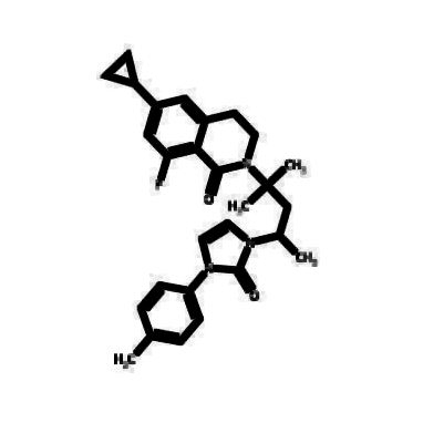 Cc1ccc(-n2ccn(C(C)CC(C)(C)N3CCc4cc(C5CC5)cc(F)c4C3=O)c2=O)cc1